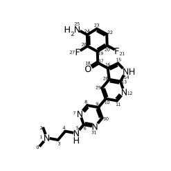 CN(C)CCNc1ncc(-c2cnc3[nH]cc(C(=O)c4c(F)ccc(N)c4F)c3c2)cn1